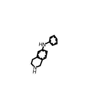 c1ccc(Nc2ccc3c(c2)CCNC3)cc1